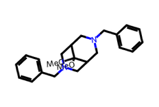 COC1(OC)C2CN(Cc3ccccc3)CC1CN(Cc1ccccc1)C2